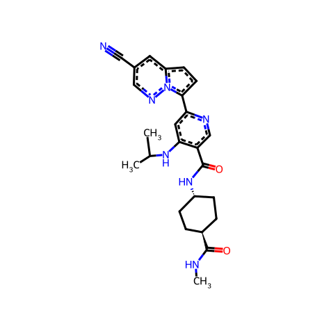 CNC(=O)[C@H]1CC[C@H](NC(=O)c2cnc(-c3ccc4cc(C#N)cnn34)cc2NC(C)C)CC1